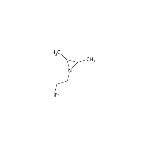 CC(C)CCN1C(C)C1C